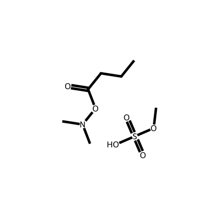 CCCC(=O)ON(C)C.COS(=O)(=O)O